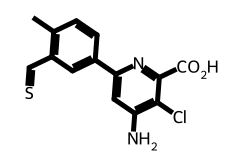 Cc1ccc(-c2cc(N)c(Cl)c(C(=O)O)n2)cc1C=S